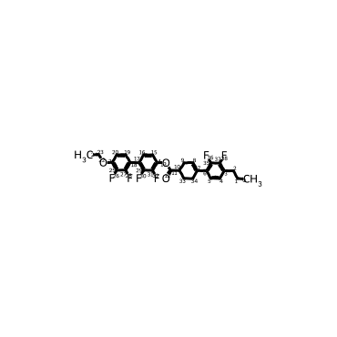 CCCc1ccc(C2=CCC(C(=O)Oc3ccc(-c4ccc(OCC)c(F)c4F)c(F)c3F)CC2)c(F)c1F